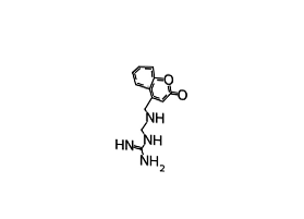 N=C(N)NCNCc1cc(=O)oc2ccccc12